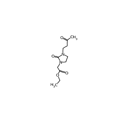 CCOC(=O)CN1CCN(CCC(C)=O)C1=O